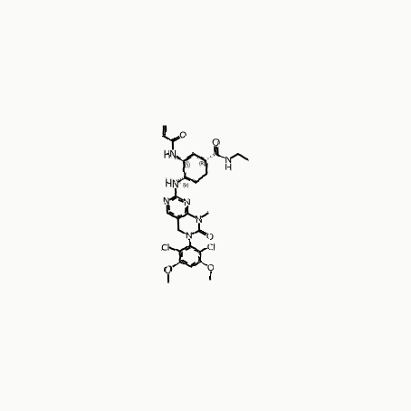 C=CC(=O)N[C@H]1C[C@H](C(=O)NCC)CC[C@H]1Nc1ncc2c(n1)N(C)C(=O)N(c1c(Cl)c(OC)cc(OC)c1Cl)C2